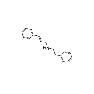 C(=Cc1ccccc1)CNCCc1ccccc1